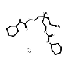 Cl.Cl.NCCC(N)(CCOC(=O)NC1CCCCC1)CCOC(=O)NC1CCCCC1